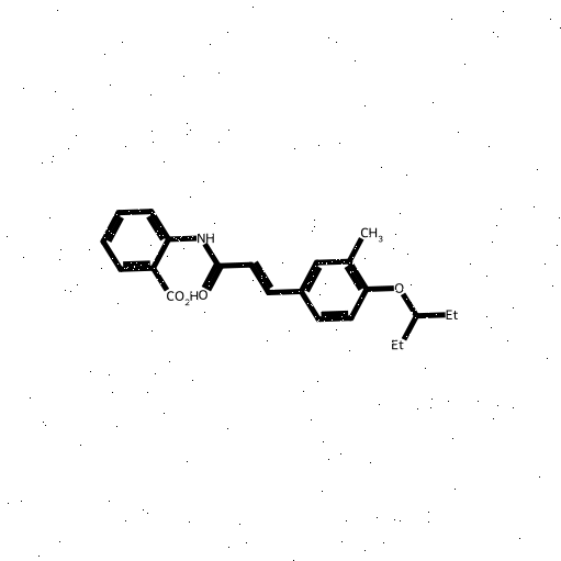 CCC(CC)Oc1ccc(/C=C/C(=O)Nc2ccccc2C(=O)O)cc1C